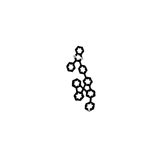 c1ccc(-c2nc3ccccc3nc2-c2ccc(-c3ccc4c(c3)C3(c5ccccc5-c5ccccc53)c3cc(-c5ccncc5)ccc3-4)cc2)cc1